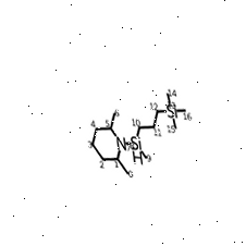 CC1CCCC(C)N1[SiH](C)CCC[Si](C)(C)C